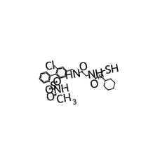 CC(=O)NS(=O)(=O)c1ccccc1-c1ccc(CNC(=O)CNC(=O)[C@@H](CS)C2CCCCC2)cc1Cl